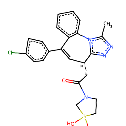 Cc1nnc2n1-c1ccccc1C(c1ccc(Cl)cc1)=C[C@H]2CC(=O)N1CCS(O)(O)C1